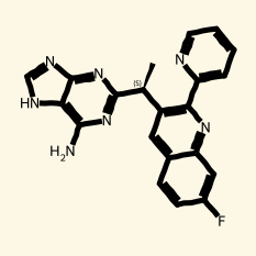 C[C@H](c1nc(N)c2[nH]cnc2n1)c1cc2ccc(F)cc2nc1-c1ccccn1